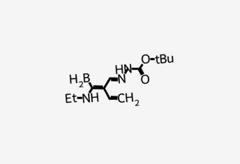 B/C(NCC)=C(C=C)\C=N\NC(=O)OC(C)(C)C